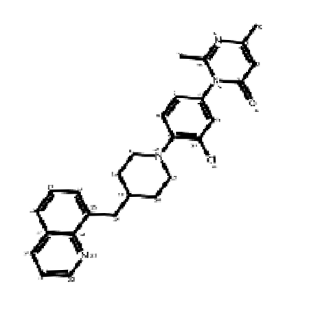 Cc1cc(=O)n(-c2ccc(N3CCC(Cc4cccc5cccnc45)CC3)c(Cl)c2)c(C)n1